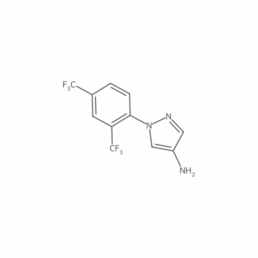 Nc1cnn(-c2ccc(C(F)(F)F)cc2C(F)(F)F)c1